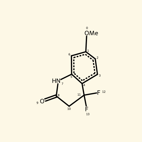 COc1ccc2c(c1)NC(=O)CC2(F)F